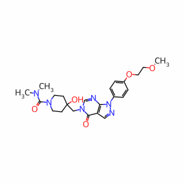 COCCOc1ccc(-n2ncc3c(=O)n(CC4(O)CCN(C(=O)N(C)C)CC4)cnc32)cc1